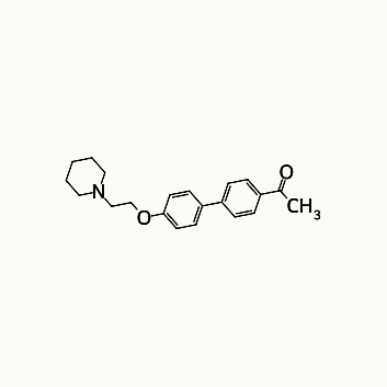 CC(=O)c1ccc(-c2ccc(OCCN3CCCCC3)cc2)cc1